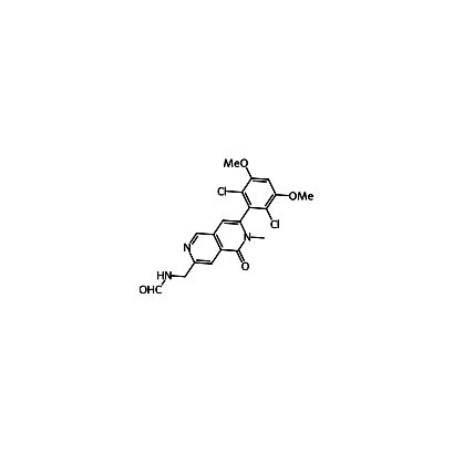 COc1cc(OC)c(Cl)c(-c2cc3cnc(CNC=O)cc3c(=O)n2C)c1Cl